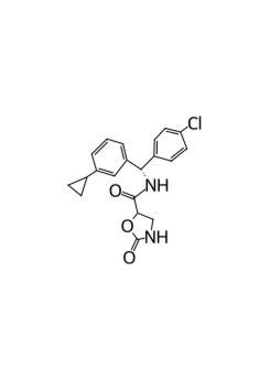 O=C1NCC(C(=O)N[C@@H](c2ccc(Cl)cc2)c2cccc(C3CC3)c2)O1